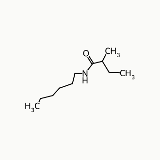 CCCCCCNC(=O)C(C)CC